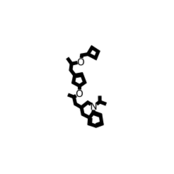 CC(CC1=CCC(OC(C)CC2Cc3ccccc3N(C(C)C)C2)C1)OCC1CCC1